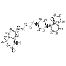 CC1(C)CC(=O)Nc2nc(OCCCCN3CCN(c4cccc5c4OCCC5)CC3)ccc21